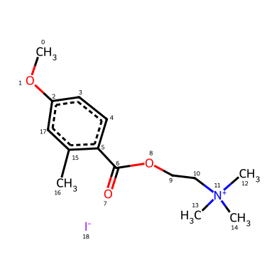 COc1ccc(C(=O)OCC[N+](C)(C)C)c(C)c1.[I-]